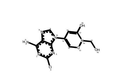 Nc1nc(Cl)nc2c1ncn2C1=CON(CO)C(O)=C1